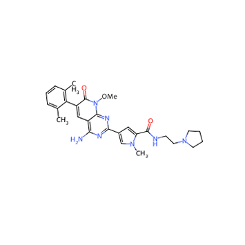 COn1c(=O)c(-c2c(C)cccc2C)cc2c(N)nc(-c3cc(C(=O)NCCN4CCCC4)n(C)c3)nc21